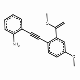 C=C(OC)c1cc(OC)ccc1C#Cc1ccccc1N